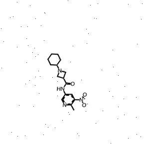 Cc1ncc(NC(=O)C2CN(C3CCCCC3)C2)cc1[N+](=O)[O-]